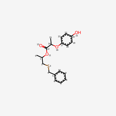 CC(CSCc1ccccc1)OC(=O)C(C)Oc1ccc(O)cc1